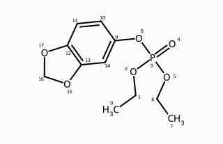 CCOP(=O)(OCC)Oc1ccc2c(c1)OCO2